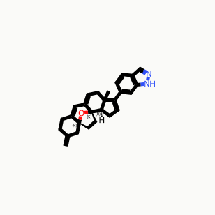 C=C1CCC2=CC3=CCC4(C)C(c5ccc6cn[nH]c6c5)=CC[C@H]4[C@@]34CC[C@]2(C1)O4